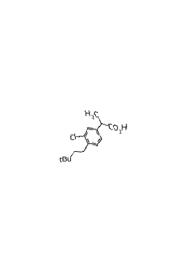 CC(C(=O)O)c1ccc(CCC(C)(C)C)c(Cl)c1